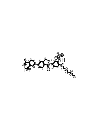 C=C(C)c1ccc(-c2ccc3c(c2)CCN(c2ccc(OCOCCOC)c(NS(C)(=O)=O)c2)C3=O)cc1C(F)(F)F